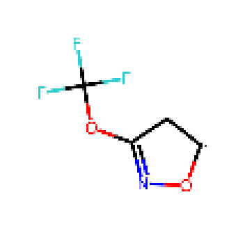 FC(F)(F)OC1=NO[CH]C1